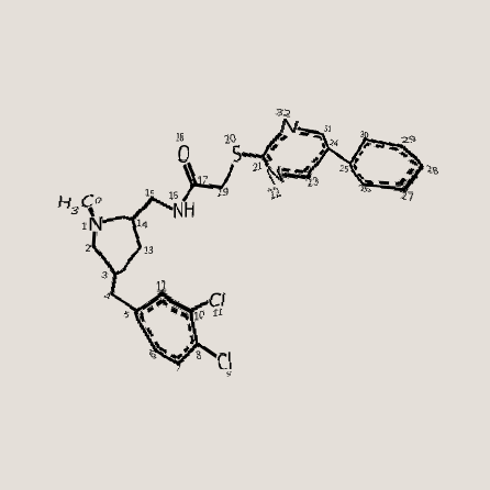 CN1CC(Cc2ccc(Cl)c(Cl)c2)CC1CNC(=O)CSc1ncc(-c2ccccc2)cn1